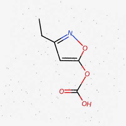 CCc1cc(OC(=O)O)on1